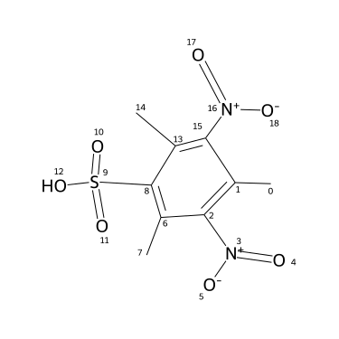 Cc1c([N+](=O)[O-])c(C)c(S(=O)(=O)O)c(C)c1[N+](=O)[O-]